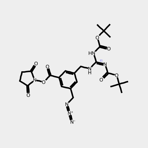 CC(C)(C)OC(=O)/N=C(\NCc1cc(CN=[N+]=[N-])cc(C(=O)ON2C(=O)CCC2=O)c1)NC(=O)OC(C)(C)C